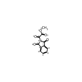 COC(=O)C(=O)N1C(=O)c2ccccc2C1=O